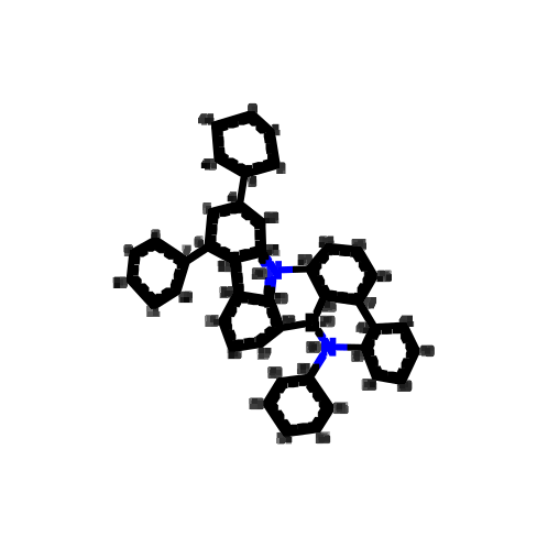 c1ccc(-c2cc(-c3ccccc3)c3c4cccc5c4n(c3c2)-c2cccc3c2B5N(c2ccccc2)c2ccccc2-3)cc1